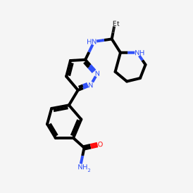 CCC(Nc1ccc(-c2cccc(C(N)=O)c2)nn1)C1CCCCN1